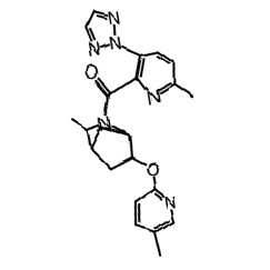 Cc1ccc(OC2CC3CC2N(C(=O)c2nc(C)ccc2-n2nccn2)C3C)nc1